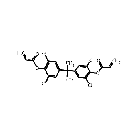 C=CC(=O)Oc1c(Cl)cc(C(C)(C)c2cc(Cl)c(OC(=O)C=C)c(Cl)c2)cc1Cl